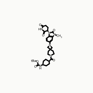 Cn1c(=O)n(C2CCC(=O)NC2=O)c2ccc(N3CC4(CCN(C(=O)C5CCC(NC(=O)OC(C)(C)C)CC5)CC4)C3)cc21